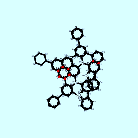 Fc1cc(-c2ccccc2)cc(-c2ccccc2)c1N(c1cc(N(c2c(F)cc(-c3ccccc3)cc2-c2ccccc2)c2cccc3c2oc2ccccc23)c2ccc3cc(C4CCCCC4)cc4ccc1c2c43)c1cccc2c1oc1ccccc12